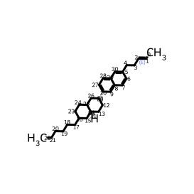 C/C=C/CCc1ccc2cc([C@@H]3CC[C@@H]4CC(CCCCCC)CCC4C3)ccc2c1